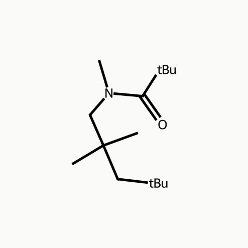 CN(CC(C)(C)CC(C)(C)C)C(=O)C(C)(C)C